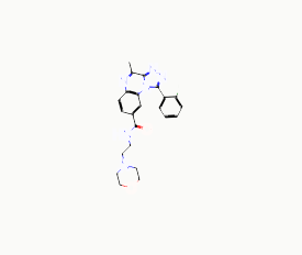 Cc1nc2ccc(C(=O)NCCN3CCOCC3)cc2n2c(-c3ccccc3Cl)nnc12